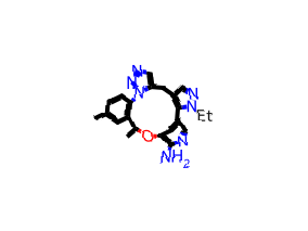 CCn1ncc2c1-c1cnc(N)c(c1)OC(C)c1cc(C)ccc1-n1nncc1C2